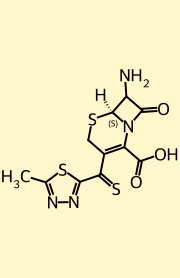 Cc1nnc(C(=S)C2=C(C(=O)O)N3C(=O)C(N)[C@@H]3SC2)s1